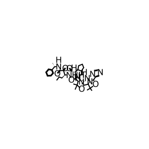 CCC[C@H](NC(=O)[C@@H]1[C@H]2CCC[C@H]2CN1C(=O)[C@@H](NC(=O)[C@@H](N(N)C(=O)c1cnccn1)C(C)(C)C)C(C)(C)C)C(=O)C(=O)N[C@@H](C)c1ccccc1